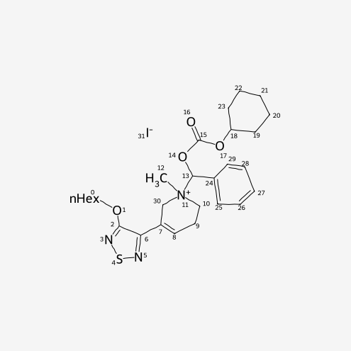 CCCCCCOc1nsnc1C1=CCC[N+](C)(C(OC(=O)OC2CCCCC2)c2ccccc2)C1.[I-]